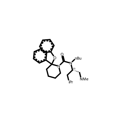 CCCCN(C(=O)N1CCCCC1(Oc1ccccc1)c1ccccc1)[C@H](CNC)CC(C)C